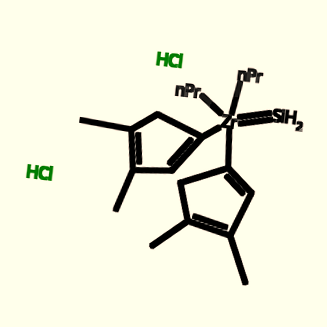 CC[CH2][Zr](=[SiH2])([CH2]CC)([C]1=CC(C)=C(C)C1)[C]1=CC(C)=C(C)C1.Cl.Cl